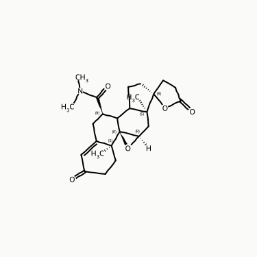 CN(C)C(=O)[C@@H]1CC2=CC(=O)CC[C@]2(C)[C@@]23O[C@@H]2C[C@@]2(C)C(CC[C@@]24CCC(=O)O4)C13